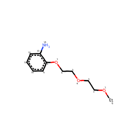 CCOCCOCCOc1ccccc1N